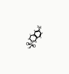 [2H]c1ccc2c(c1)CCN(S(C)(=O)=O)C2